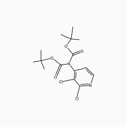 CC(C)(C)OC(=O)N(C(=O)OC(C)(C)C)c1ccnc(Cl)c1Cl